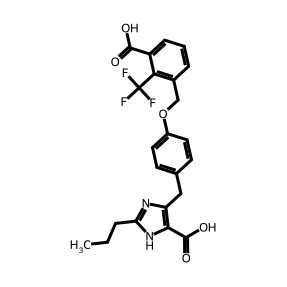 CCCc1nc(Cc2ccc(OCc3cccc(C(=O)O)c3C(F)(F)F)cc2)c(C(=O)O)[nH]1